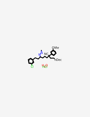 CCCCCCCCCCCCC(C#N)(CCCC(CCc1cccc(Cl)c1)/N=N/C)c1cccc(OC)c1.Cl.O